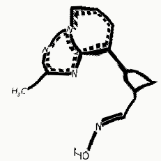 Cc1nc2c(C3CC3C=NO)cccn2n1